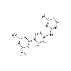 CC(C)c1ccnc(Nc2ccc(N3C[C@@H](C)O[C@@H](C)C3)nc2)n1